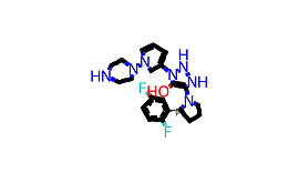 OC1=C(N2CCC[C@@H]2c2cc(F)ccc2F)NNN1C1=CC=CN(N2CCNCC2)C1